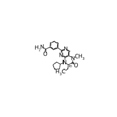 CC[C@@H]1C(=O)N(C)c2cnc(-c3cccc(C(N)=O)c3)nc2N1C1CCCC1